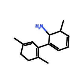 CC1=CC(C2=CC=CC(C)C2N)=C(C)CC1